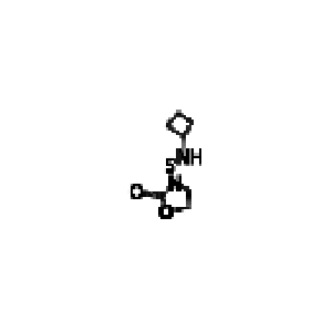 O=C1OCCN1SNC1CCC1